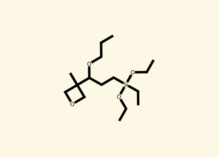 CCCOC(CC[Si](CC)(OCC)OCC)C1(C)COC1